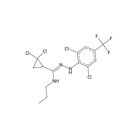 CCCNC(=NNc1c(Cl)cc(C(F)(F)F)cc1Cl)C1CC1(Cl)Cl